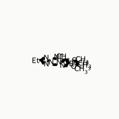 CCc1cnc(N2CCN(c3ncc(B4OC(C)(C)C(C)(C)O4)cc3C#N)C(C)C2)nc1